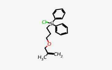 C=C(C)COCCC[Si](Cl)(c1ccccc1)c1ccccc1